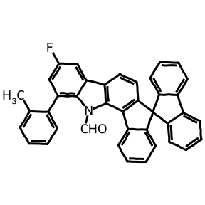 Cc1ccccc1-c1cc(F)cc2c3ccc4c(c3n(C=O)c12)-c1ccccc1C41c2ccccc2-c2ccccc21